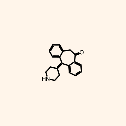 O=C1Cc2ccccc2C(=C2CCNCC2)c2ccccc21